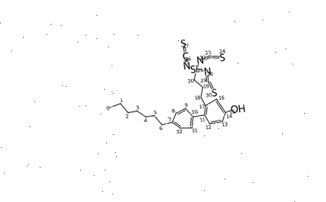 CCCCCCCc1ccc(-c2ccc(O)cc2CCC[Si](N=C=S)(N=C=S)N=C=S)cc1